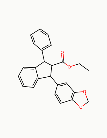 CCOC(=O)C1C(c2ccccc2)c2ccccc2C1c1ccc2c(c1)OCO2